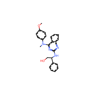 COc1ccc(N(C)c2nc(NC(CO)c3ccccc3)nc3ccccc23)cc1